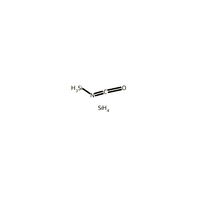 O=C=N[SiH3].[SiH4]